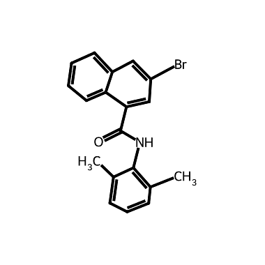 Cc1cccc(C)c1NC(=O)c1cc(Br)cc2ccccc12